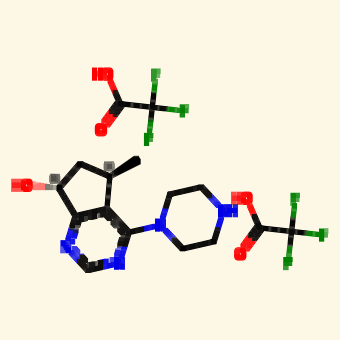 C[C@@H]1C[C@@H](O)c2ncnc(N3CCNCC3)c21.O=C(O)C(F)(F)F.O=C(O)C(F)(F)F